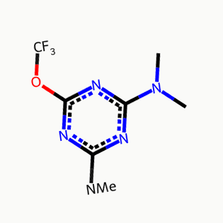 CNc1nc(OC(F)(F)F)nc(N(C)C)n1